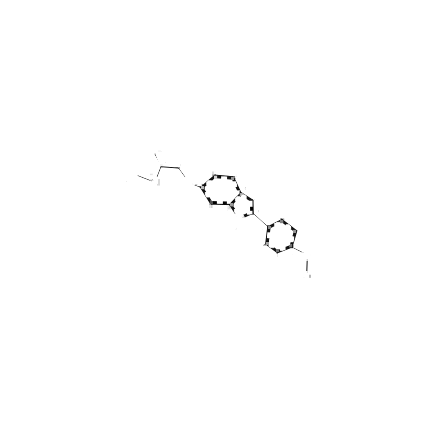 CCCOc1ccc(-c2cc3ccc(OC[C@H](C)NC(=O)O)cc3o2)cc1